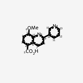 COc1ccc(C(=O)O)c2ccc(-c3cccnc3)nc12